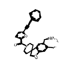 NCc1cc2c(cc1F)OCC21CCN(C(=O)c2ccc(C#Cc3ccccc3)o2)CC1